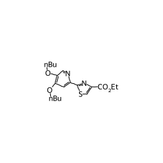 CCCCOc1cnc(-c2nc(C(=O)OCC)cs2)cc1OCCCC